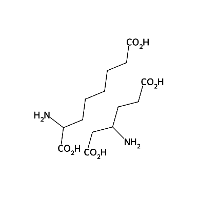 NC(CCC(=O)O)CC(=O)O.NC(CCCCCC(=O)O)C(=O)O